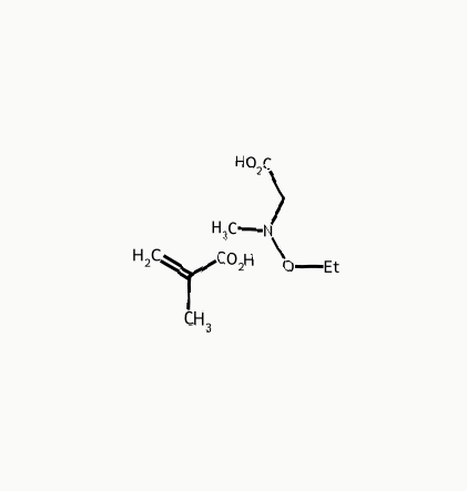 C=C(C)C(=O)O.CCON(C)CC(=O)O